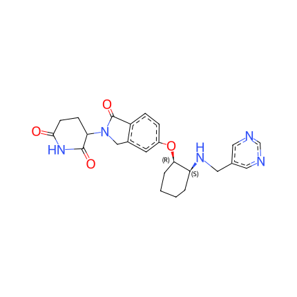 O=C1CCC(N2Cc3cc(O[C@@H]4CCCC[C@@H]4NCc4cncnc4)ccc3C2=O)C(=O)N1